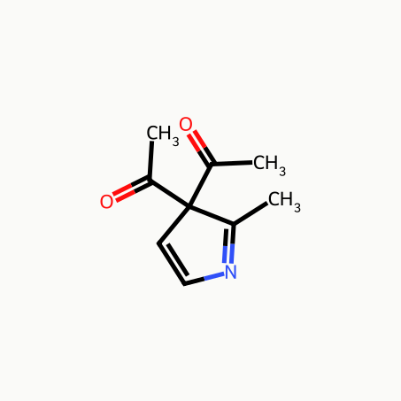 CC(=O)C1(C(C)=O)C=CN=C1C